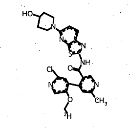 [2H]COc1cnc(Cl)cc1-c1cc(C)ncc1C(=O)Nc1nc2ccc(N3CCC(O)CC3)nc2s1